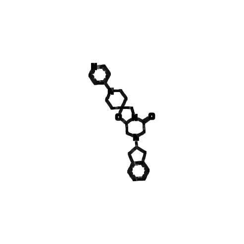 O=C1CN(C2Cc3ccccc3C2)CC2OC3(CCN(c4ccncc4)CC3)CN12